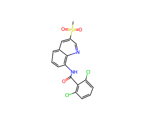 CS(=O)(=O)c1cnc2c(NC(=O)c3c(Cl)cccc3Cl)cccc2c1